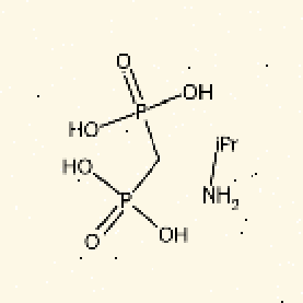 CC(C)N.O=P(O)(O)CP(=O)(O)O